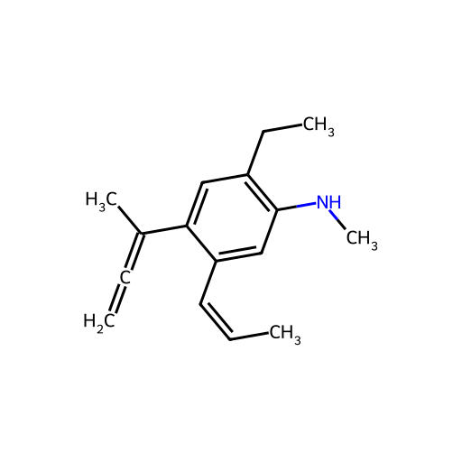 C=C=C(C)c1cc(CC)c(NC)cc1/C=C\C